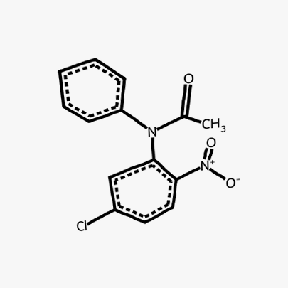 CC(=O)N(c1ccccc1)c1cc(Cl)ccc1[N+](=O)[O-]